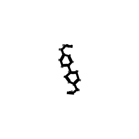 CCCCCCCCOc1ccc(-c2ccc(SCCCCC)cc2)cc1